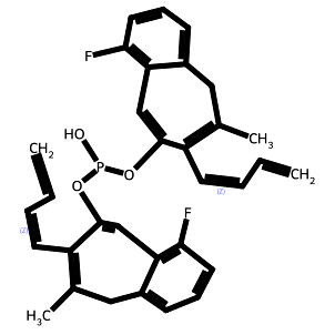 C=C/C=C\C1=C(C)Cc2cccc(F)c2C=C1OP(O)OC1=Cc2c(F)cccc2CC(C)=C1/C=C\C=C